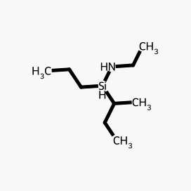 CCC[SiH](NCC)C(C)CC